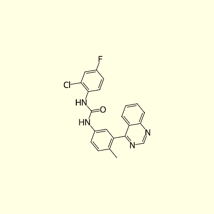 Cc1ccc(NC(=O)Nc2ccc(F)cc2Cl)cc1-c1ncnc2ccccc12